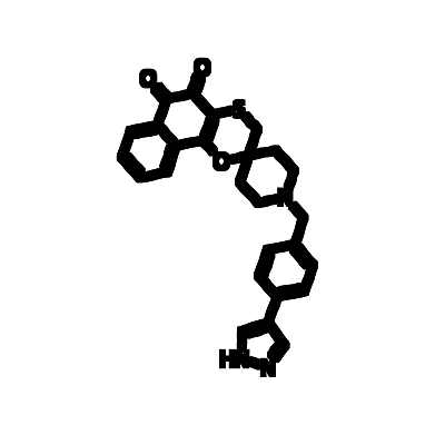 O=C1C(=O)c2ccccc2C2=C1SCC1(CCN(Cc3ccc(-c4cn[nH]c4)cc3)CC1)O2